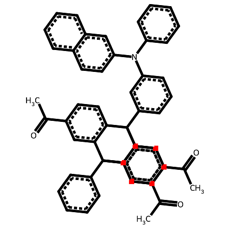 CC(=O)c1ccc2c(c1)C1(c3cccc(N(c4ccccc4)c4ccc5ccccc5c4)c3)c3ccc(C(C)=O)cc3C2(c2ccccc2)c2cc(C(C)=O)ccc21